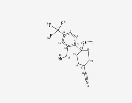 COC1(c2ccc(C(F)(F)F)cc2CBr)CCC(C#N)CC1